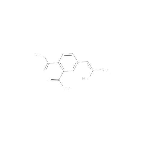 COC(=O)c1ccc(C=C(C)[N+](=O)[O-])cc1C(=O)OC